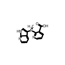 CN(c1ncccc1C(=O)O)c1c[nH]c2ncccc12